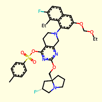 CCOCOc1cc(N2CCc3c(nc(OC[C@@]45CCCN4C[C@H](F)C5)nc3OS(=O)(=O)c3ccc(C)cc3)C2)c2c(CC)c(F)ccc2c1